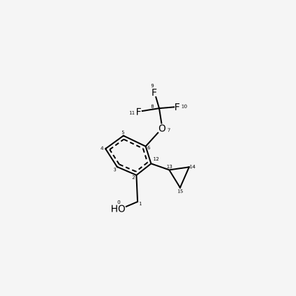 OCc1cccc(OC(F)(F)F)c1C1CC1